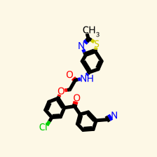 Cc1nc2cc(NC(=O)COc3ccc(Cl)cc3C(=O)c3cccc(C#N)c3)ccc2s1